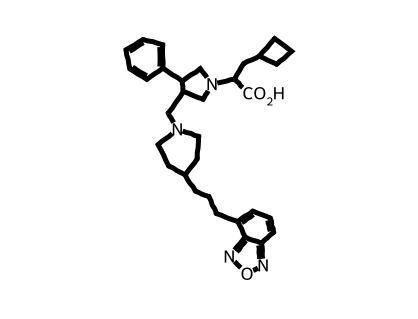 O=C(O)C(CC1CCC1)N1CC(CN2CCC(CCCc3cccc4nonc34)CC2)C(c2ccccc2)C1